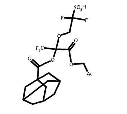 CC(=O)COC(=O)C(OCC(F)(F)S(=O)(=O)O)(OC(=O)C12CC3CC(CC(C3)C1)C2)C(F)(F)F